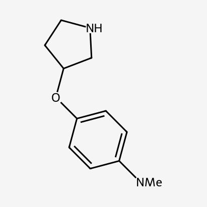 CNc1ccc(OC2CCNC2)cc1